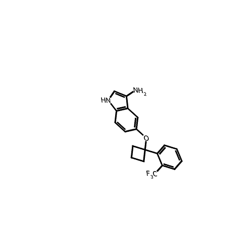 Nc1c[nH]c2ccc(OC3(c4ccccc4C(F)(F)F)CCC3)cc12